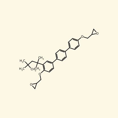 CC(C)(C)CC(C)(C)c1cc(-c2ccc(-c3ccc(OCC4CO4)cc3)cc2)ccc1OCC1CO1